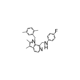 Cc1ccc(C)c(Cn2c(C)c(C)c3ccnc(CNc4ccc(F)cc4)c32)c1